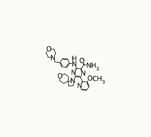 COc1cccnc1-c1nc(C(N)=O)c(Nc2ccc(CN3CCOCC3)cc2)nc1N1CCC12CCOCC2